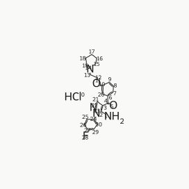 Cl.Nc1c(C(=O)c2cccc(OCCN3CCCCC3)c2)cnn1-c1ccc(F)cc1